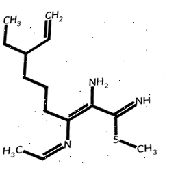 C=CC(CC)CCCC(/N=C\C)=C(\N)C(=N)SC